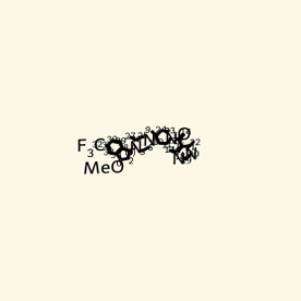 COC1C[C@H](N2CCN(C3(C)CCN(C(=O)c4c(C)ncnc4C)CC3)CC2C)c2ccc(C(F)(F)F)cc21